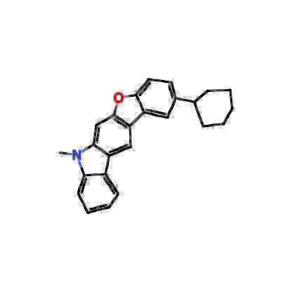 Cn1c2ccccc2c2cc3c(cc21)oc1ccc(C2CCCCC2)cc13